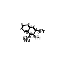 CC(C)c1cc2ccccc2c(C(C)C)c1C(C)C.[Na]